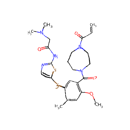 C=CC(=O)N1CCCN(C(=O)c2cc(Sc3cnc(NC(=O)CN(C)C)s3)c(C)cc2OC)CC1